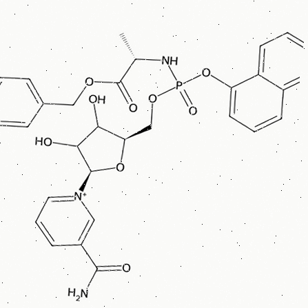 C[C@H](NP(=O)(OC[C@H]1O[C@@H]([n+]2cccc(C(N)=O)c2)C(O)C1O)Oc1cccc2ccccc12)C(=O)OCc1ccccc1